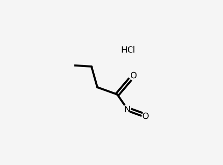 CCCC(=O)N=O.Cl